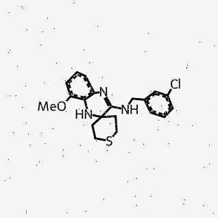 COc1cccc2c1NC1(CCSCC1)C(NCc1cccc(Cl)c1)=N2